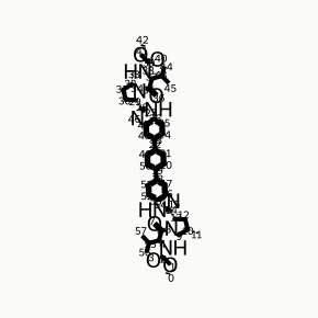 COC(=O)N[C@H](C(=O)N1C[C@@H](C)C[C@H]1c1nc2cc(-c3ccc(-c4ccc5[nH]c([C@@H]6CC[C@H](C)N6C(=O)[C@@H](NC(=O)OC)C(C)C)nc5c4)cc3)ccc2[nH]1)C(C)C